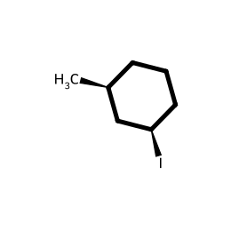 C[C@H]1CCC[C@@H](I)C1